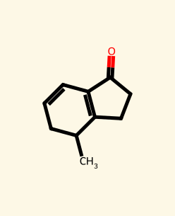 CC1CC=CC2=C1CCC2=O